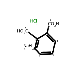 Cl.O=C(O)c1ccccc1C(=O)O.[NaH]